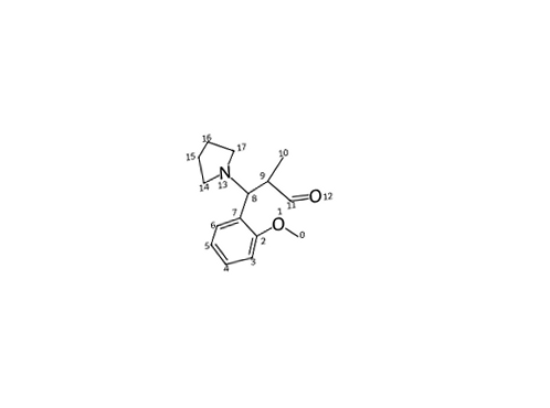 COc1ccccc1C(C(C)C=O)N1CCCC1